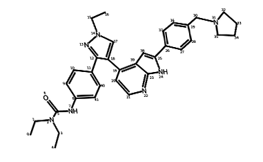 CCN(CC)C(=O)Nc1ccc(-c2nn(CC)cc2-c2ccnc3[nH]c(-c4ccc(CN5CCCC5)cc4)cc23)cc1